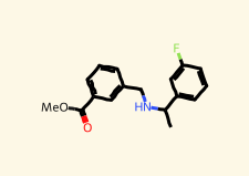 COC(=O)c1cccc(CNC(C)c2cccc(F)c2)c1